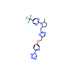 CC1CCC(Cn2ncc(COc3ccc(-n4cnnn4)nc3)n2)N1c1ncc(C(F)(F)F)cn1